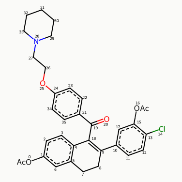 CC(=O)Oc1ccc2c(c1)CCC(c1ccc(Cl)c(OC(C)=O)c1)=C2C(=O)c1ccc(OCCN2CCCCC2)cc1